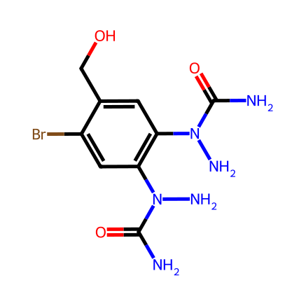 NC(=O)N(N)c1cc(Br)c(CO)cc1N(N)C(N)=O